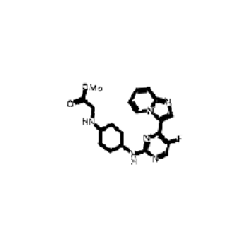 COC(=O)CNC1CCC(Nc2ncc(F)c(-c3cnc4ccccn34)n2)CC1